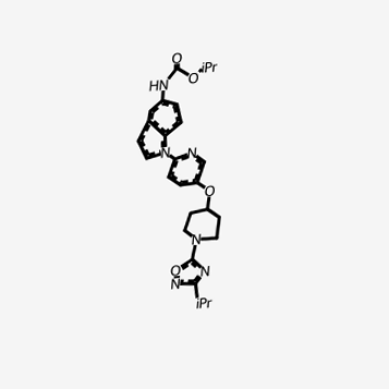 CC(C)OC(=O)Nc1ccc2c(ccn2-c2ccc(OC3CCN(c4nc(C(C)C)no4)CC3)cn2)c1